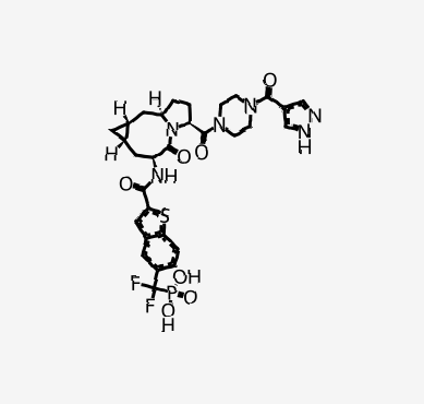 O=C(N[C@H]1C[C@@H]2C[C@@H]2C[C@H]2CC[C@@H](C(=O)N3CCN(C(=O)c4cn[nH]c4)CC3)N2C1=O)c1cc2cc(C(F)(F)P(=O)(O)O)ccc2s1